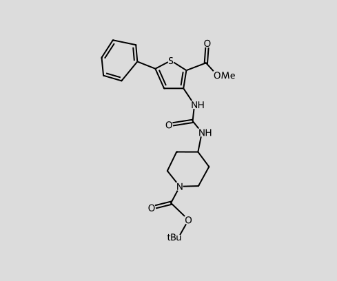 COC(=O)c1sc(-c2ccccc2)cc1NC(=O)NC1CCN(C(=O)OC(C)(C)C)CC1